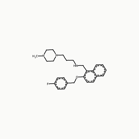 CN1CCN(CCCNCc2c(OCc3ccc(F)cc3)ccc3ccccc23)CC1